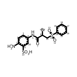 Nc1ccc(NC(=O)C(Br)CS(=O)(=O)c2ccccc2)cc1S(=O)(=O)O